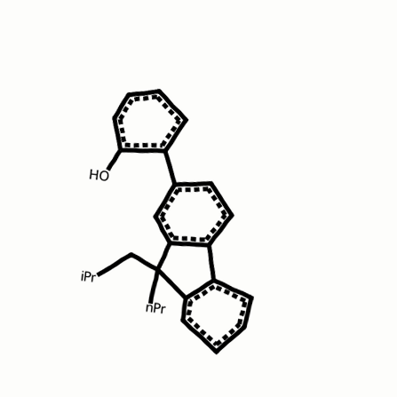 CCCC1(CC(C)C)c2ccccc2-c2ccc(-c3ccccc3O)cc21